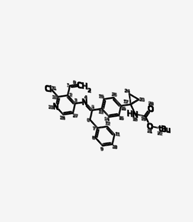 C=Cc1c(/N=C(\Cc2ccccc2)c2ccc(C3(NC(=O)OC(C)(C)C)CC3)cc2)ccnc1Cl